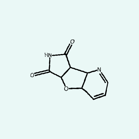 O=C1NC(=O)C2C1OC1C=CC=NC12